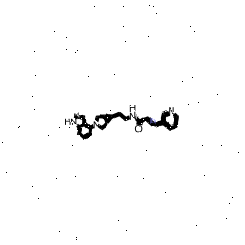 O=C(/C=C/c1cccnc1)NCCC1C2CN(c3cccc4[nH]ncc34)CC12